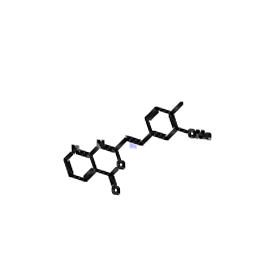 COc1cc(/C=C/c2nc3ncccc3c(=O)o2)ccc1C